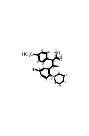 CC(c1cc(F)ccc1N1CCCCC1)C(C(N)=O)c1ccc(C(=O)O)cc1